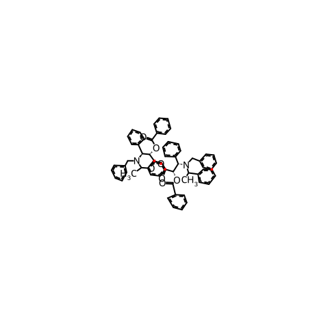 CC(c1ccccc1)N(Cc1ccccc1)[C@@H](c1ccccc1)[C@H](OC(=O)c1ccccc1)C(=O)OC(=O)[C@@H](OC(=O)c1ccccc1)[C@H](c1ccccc1)N(Cc1ccccc1)C(C)c1ccccc1